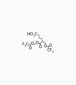 O=C(O)CCCC(COC(=O)C(F)(F)F)C(=O)OCOC(=O)C(F)(F)F